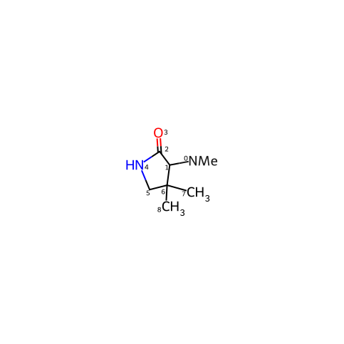 CNC1C(=O)NCC1(C)C